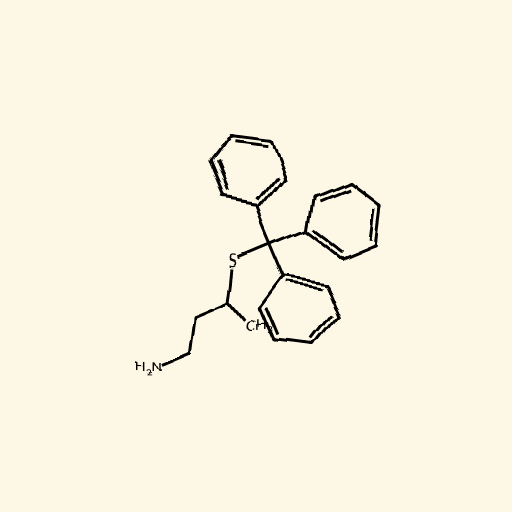 CC(CCN)SC(c1ccccc1)(c1ccccc1)c1ccccc1